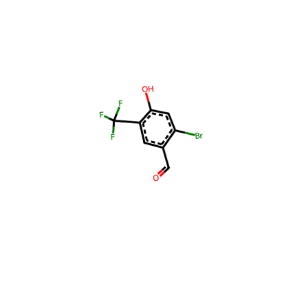 O=Cc1cc(C(F)(F)F)c(O)cc1Br